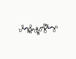 COC(=O)/C=C/n1nnn(COS(=O)(=O)OCn2nnn(/C=C/C(=O)OC)c2=O)c1=O